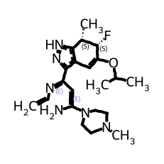 C=C/N=C(\C=C(/N)N1CCN(C)CC1)c1n[nH]c2c1C=C(OC(C)C)[C@@H](F)[C@H]2C